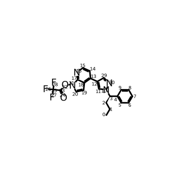 CCC[C@H](c1ccccc1)n1cc(-c2ccnc3c2ccn3OC(=O)C(F)(F)F)cn1